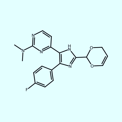 CN(C)c1nccc(-c2[nH]c(C3OC=CCO3)nc2-c2ccc(F)cc2)n1